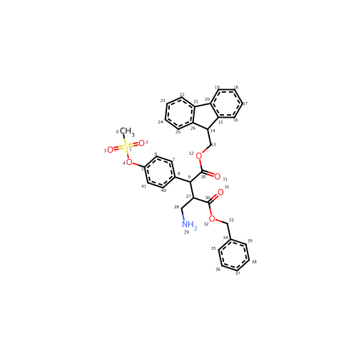 CS(=O)(=O)Oc1ccc(C(C(=O)OCC2c3ccccc3-c3ccccc32)C(CN)C(=O)OCc2ccccc2)cc1